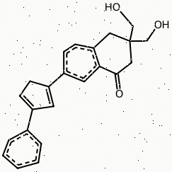 O=C1CC(CO)(CO)Cc2ccc(C3=CC(c4ccccc4)=CC3)cc21